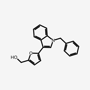 OCc1ccc(-c2cn(Cc3ccccc3)c3ccccc23)o1